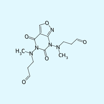 CN(CCC=O)n1c(=O)c2conc2n(N(C)CCC=O)c1=O